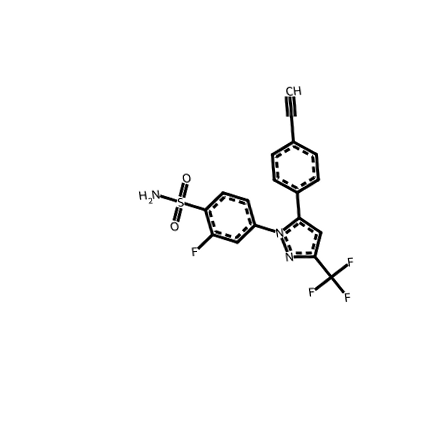 C#Cc1ccc(-c2cc(C(F)(F)F)nn2-c2ccc(S(N)(=O)=O)c(F)c2)cc1